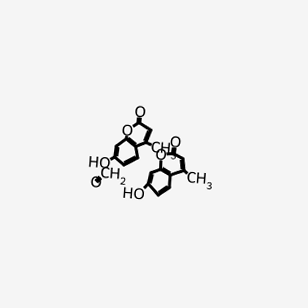 C=O.Cc1cc(=O)oc2cc(O)ccc12.Cc1cc(=O)oc2cc(O)ccc12